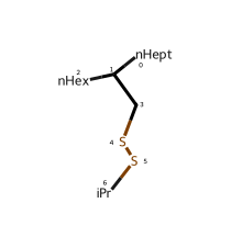 CCCCCCCC(CCCCCC)CSSC(C)C